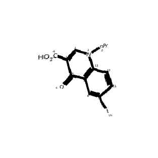 CCCn1cc(C(=O)O)c(=O)c2cc(I)ccc21